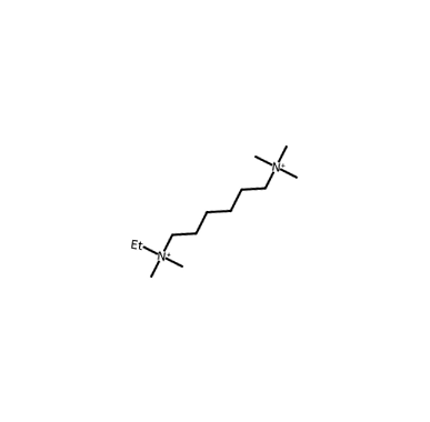 CC[N+](C)(C)CCCCCC[N+](C)(C)C